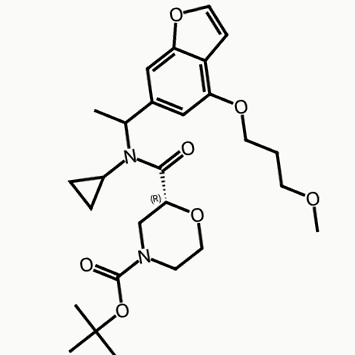 COCCCOc1cc(C(C)N(C(=O)[C@H]2CN(C(=O)OC(C)(C)C)CCO2)C2CC2)cc2occc12